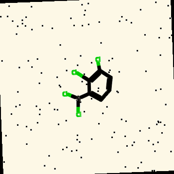 Clc1cccc([Si](Cl)Cl)c1Cl